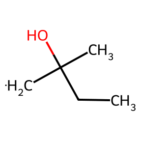 [CH2]C(C)(O)CC